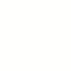 CC1(C)OB(c2cnn(CCC(N)=O)c2)OC1(C)C